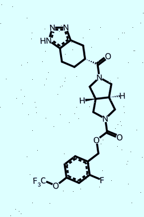 O=C(OCc1ccc(OC(F)(F)F)cc1F)N1C[C@@H]2CN(C(=O)[C@@H]3CCc4[nH]nnc4C3)C[C@H]2C1